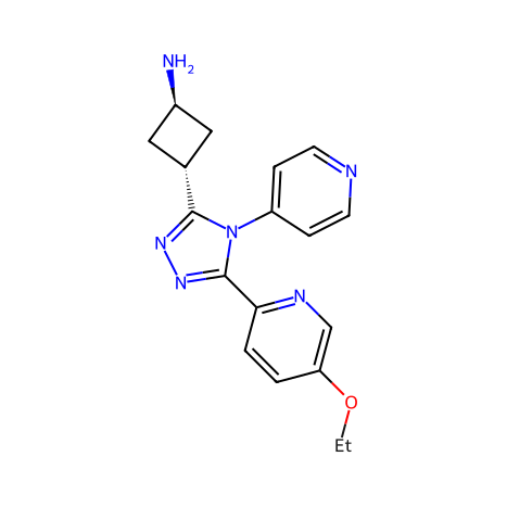 CCOc1ccc(-c2nnc([C@H]3C[C@H](N)C3)n2-c2ccncc2)nc1